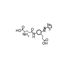 NC(CCC(=O)Nc1ccc(/N=N/c2nccs2)c(CCC(=O)O)c1)C(=O)O